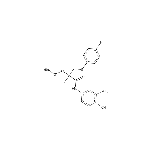 CC(C)(C)OOC(C)(CSc1ccc(F)cc1)C(=O)Nc1ccc(C#N)c(C(F)(F)F)c1